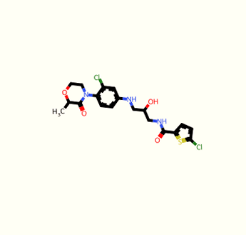 CC1OCCN(c2ccc(NCC(O)CNC(=O)c3ccc(Cl)s3)cc2Cl)C1=O